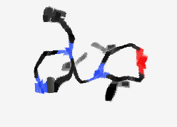 C[C@@H]1COC[C@@H](C)N1C[C@@]1(C)CNCCN1CC=O